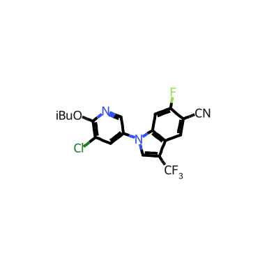 CC(C)COc1ncc(-n2cc(C(F)(F)F)c3cc(C#N)c(F)cc32)cc1Cl